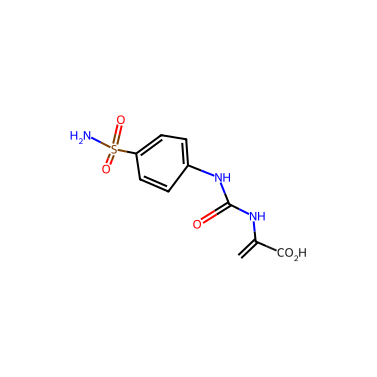 C=C(NC(=O)Nc1ccc(S(N)(=O)=O)cc1)C(=O)O